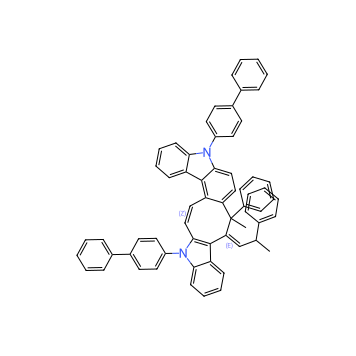 CC(/C=C1/c2c(n(-c3ccc(-c4ccccc4)cc3)c3ccccc23)/C=C\c2c(ccc3c2c2ccccc2n3-c2ccc(-c3ccccc3)cc2)C1(C)c1ccccc1)c1ccccc1